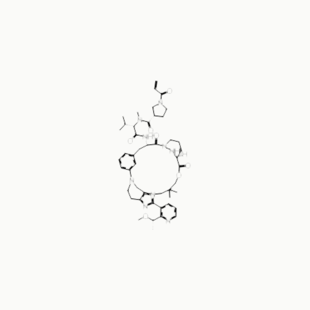 C=CC(=O)N1CC[C@H](C(=O)N(C)[C@H](C(=O)N[C@H]2Cc3cccc(c3)N3CCc4nc(-c5cccnc5[C@H](C)OC)n(c4C3)CC(C)(C)COC(=O)[C@@H]3CCCN(N3)C2=O)C(C)C)C1